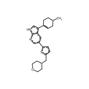 CN1CC=C(c2c[nH]c3ncc(-c4ccc(CN5CCOCC5)s4)cc23)CC1